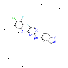 Fc1cc(Nc2nc(Nc3ccc4[nH]ncc4c3)ncc2F)ccc1Cl